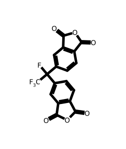 O=C1OC(=O)c2cc(C(F)(c3ccc4c(c3)C(=O)OC4=O)C(F)(F)F)ccc21